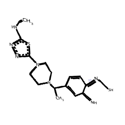 CNc1nnc(N2CCN(C(C)C3=CC(=N)/C(=N\S)C=C3)CC2)s1